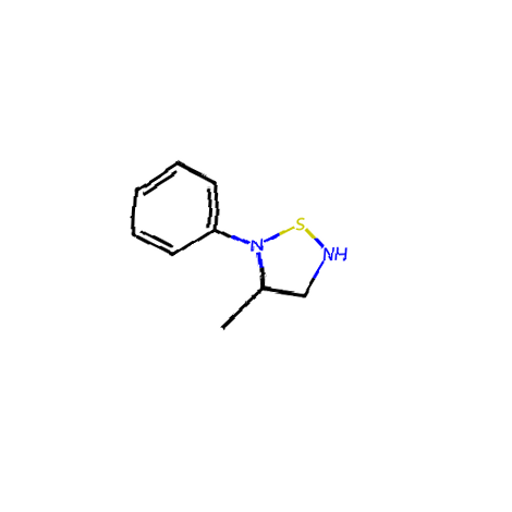 CC1CNSN1c1ccccc1